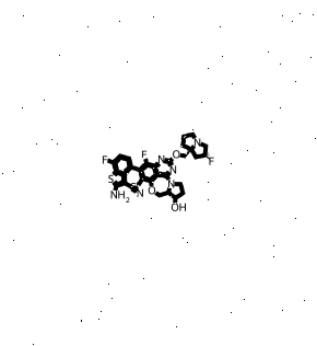 N#Cc1c(N)sc2c(F)ccc(-c3c(Cl)c4c5c(nc(OC[C@@]67CCCN6C[C@H](F)C7)nc5c3F)N3CCC(O)C3CO4)c12